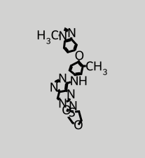 Cc1cc(Nc2ncnc3cnc(N=S4(=O)CCOCC4)nc23)ccc1Oc1ccc2c(c1)ncn2C